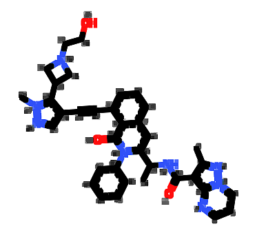 Cc1nn2cccnc2c1C(=O)NC(C)c1cc2cccc(C#Cc3cnn(C)c3C3CN(CCO)C3)c2c(=O)n1-c1ccccc1